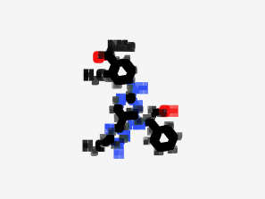 CNC(=O)c1ccc(Nc2ncc(-c3n[nH]c(C)n3)c(N[C@H](CO)c3ccccc3)n2)cc1C